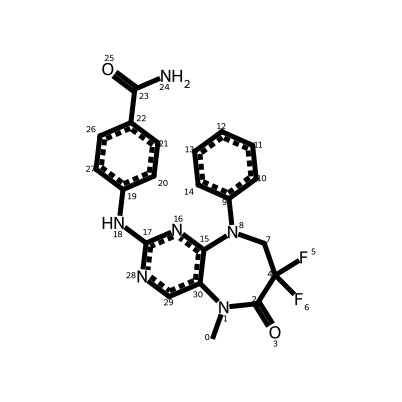 CN1C(=O)C(F)(F)CN(c2ccccc2)c2nc(Nc3ccc(C(N)=O)cc3)ncc21